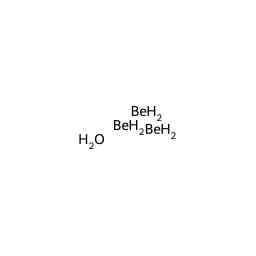 O.[BeH2].[BeH2].[BeH2]